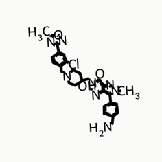 Cc1nc(-c2ccc(CN3CCC(O)(Cn4cnc5c(-c6ccc(CN)cc6)n(C)nc5c4=O)CC3)c(Cl)c2)no1